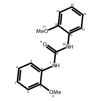 COc1ccccc1NC(=O)Nc1ccccc1OC